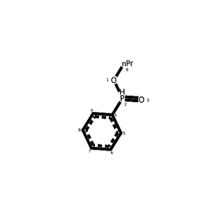 CCCO[PH](=O)c1ccccc1